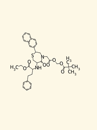 CCOC(=O)C(CCc1ccccc1)NC1CSC(c2ccc3ccccc3c2)CN(CC(=O)OCOC(=O)C(C)(C)C)C1=O